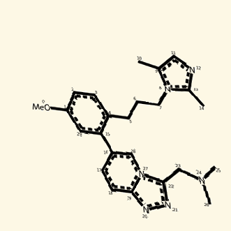 COc1ccc(CCCn2c(C)cnc2C)c(-c2ccc3nnc(CN(C)C)n3c2)c1